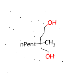 CCCCCC(C)(CCO)CCCO